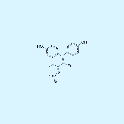 CCC(=C(c1ccc(O)cc1)c1ccc(O)cc1)c1cccc(Br)c1